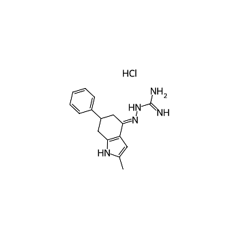 Cc1cc2c([nH]1)CC(c1ccccc1)C/C2=N\NC(=N)N.Cl